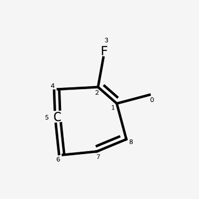 CC1=C(F)C=C=CC=C1